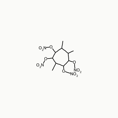 CC1C(C)C(O[N+](=O)[O-])C(O[N+](=O)[O-])C(C)C(O[N+](=O)[O-])C1O[N+](=O)[O-]